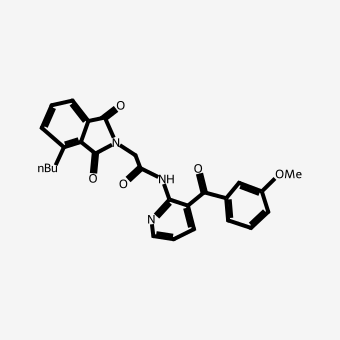 CCCCc1cccc2c1C(=O)N(CC(=O)Nc1ncccc1C(=O)c1cccc(OC)c1)C2=O